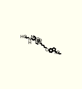 CCO/N=C1\CCc2cc(OCCCCCN3CCN(c4ccnc(NCCO)c4)S3(=O)=O)ccc21